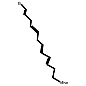 CCC=CCC=CCC=CC=CCCCCCCCCCCC